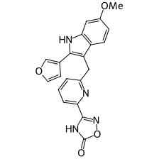 COc1ccc2c(Cc3cccc(-c4noc(=O)[nH]4)n3)c(-c3ccoc3)[nH]c2c1